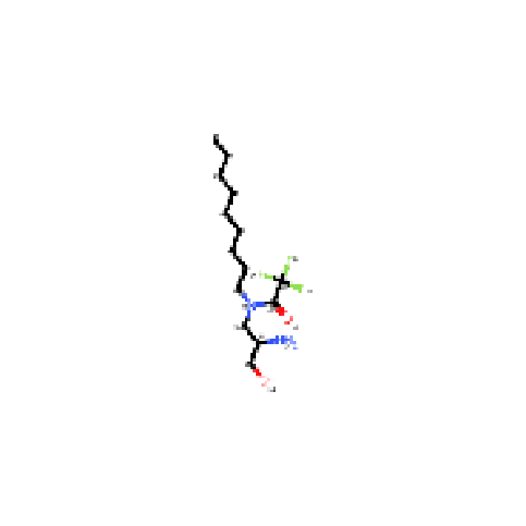 CCCCCCCCCN(CC(N)CO)C(=O)C(F)(F)F